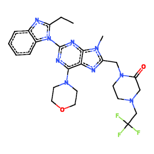 CCc1nc2ccccc2n1-c1nc(N2CCOCC2)c2nc(CN3CCN(CC(F)(F)F)CC3=O)n(C)c2n1